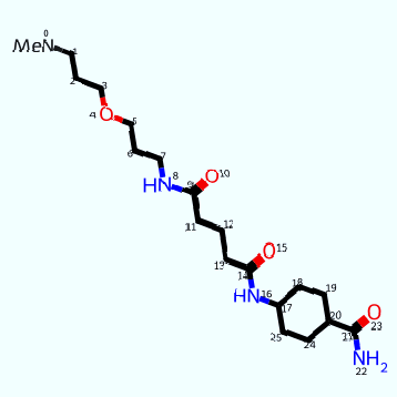 CNCCCOCCCNC(=O)CCCC(=O)NC1CCC(C(N)=O)CC1